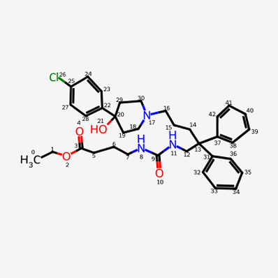 CCOC(=O)CCCNC(=O)NCC(CCCN1CCC(O)(c2ccc(Cl)cc2)CC1)(c1ccccc1)c1ccccc1